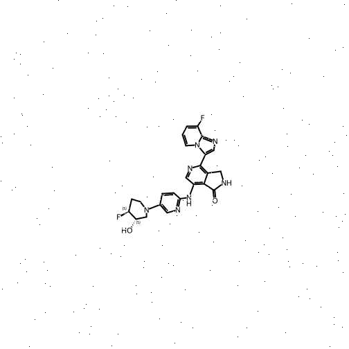 O=C1NCc2c(-c3cnc4c(F)cccn34)ncc(Nc3ccc(N4CC[C@H](F)[C@@H](O)C4)cn3)c21